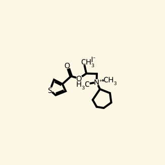 CC(C[N+](C)(C)C1CCCCC1)OC(=O)c1ccsc1.[I-]